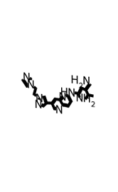 CC(C)C(=C/N)/C=C(\N)Nc1ccc2ncc(-c3cnn(CCn4ccnc4)c3)cc2n1